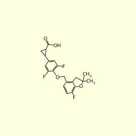 CC1(C)Cc2c(COc3c(F)cc(C4CC4C(=O)O)cc3F)ccc(F)c2O1